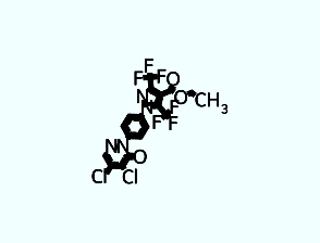 CCOC(=O)c1c(C(F)(F)F)nn(-c2ccc(-n3ncc(Cl)c(Cl)c3=O)cc2)c1C(F)(F)F